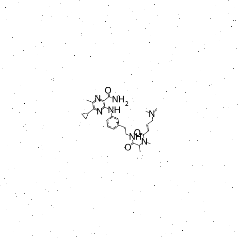 Cc1nc(C(N)=O)c(Nc2cccc(CCNC(=O)C(C)N(C)C(=O)C=CCN(C)C)c2)nc1C1CC1